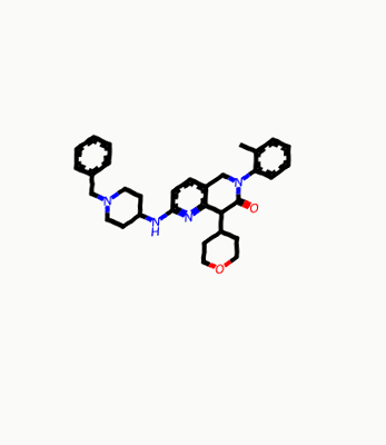 Cc1ccccc1N1Cc2ccc(NC3CCN(Cc4ccccc4)CC3)nc2C(C2CCOCC2)C1=O